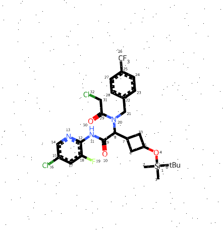 CC(C)(C)[Si](C)(C)OC1CC(C(C(=O)Nc2ncc(Cl)cc2F)N(Cc2ccc(C(F)(F)F)cc2)C(=O)CCl)C1